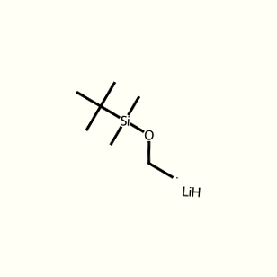 [CH2]CO[Si](C)(C)C(C)(C)C.[LiH]